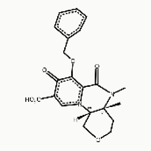 CN1C(=O)c2c(OCc3ccccc3)c(=O)c(C(=O)O)cn2[C@H]2COCC[C@]21C